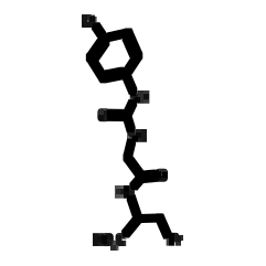 CCc1ccc(NC(=O)NCC(=O)NC(CC(C)C)C(=O)O)cc1